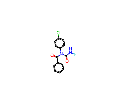 O=C(NF)N(C(=O)c1ccccc1)c1ccc(Cl)cc1